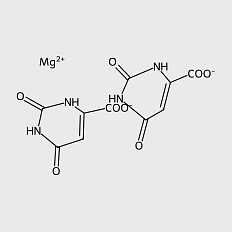 O=C([O-])c1cc(=O)[nH]c(=O)[nH]1.O=C([O-])c1cc(=O)[nH]c(=O)[nH]1.[Mg+2]